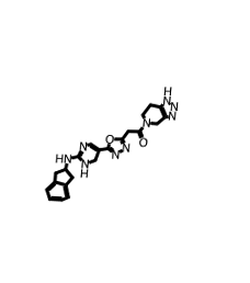 O=C(Cc1nnc(C2=CN=C(NC3Cc4ccccc4C3)NC2)o1)N1CCc2[nH]nnc2C1